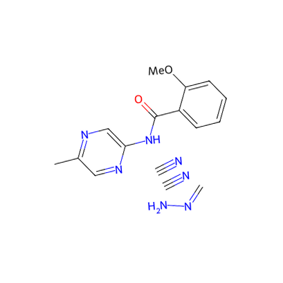 C#N.C#N.C=NN.COc1ccccc1C(=O)Nc1cnc(C)cn1